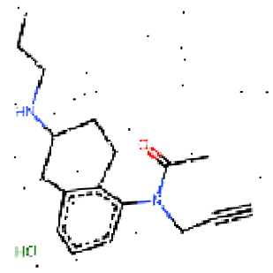 C#CCN(C(C)=O)c1cccc2c1CCC(NCCC)C2.Cl